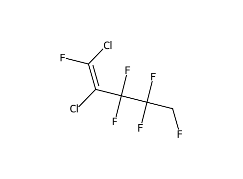 FCC(F)(F)C(F)(F)C(Cl)=C(F)Cl